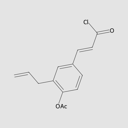 C=CCc1cc(/C=C/C(=O)Cl)ccc1OC(C)=O